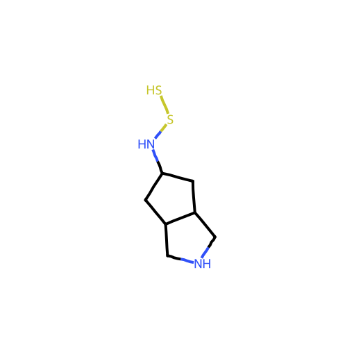 SSNC1CC2CNCC2C1